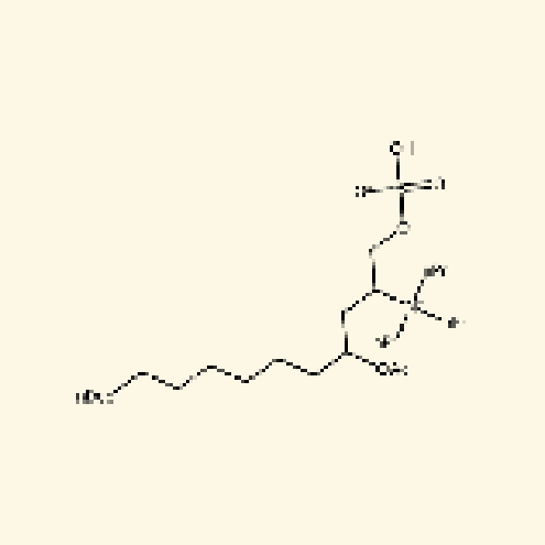 CCCCCCCCCCCCCCCCC(CC(COP(=O)([O-])O)[N+](CCC)(CCC)CCC)OC(C)=O